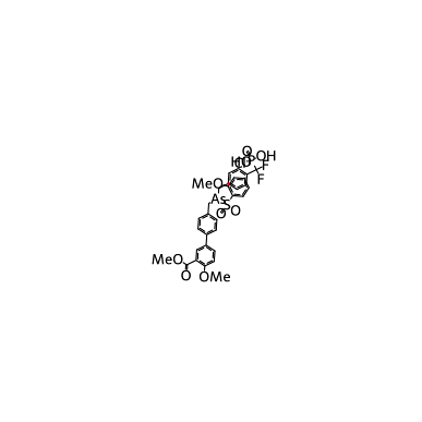 COC(=O)c1cc(-c2ccc(C[As](Cc3ccc(C(F)(F)P(=O)(O)O)c(Cl)c3)S(=O)(=O)c3ccccc3OC)cc2)ccc1OC